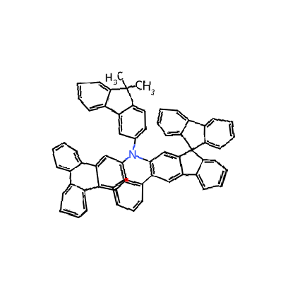 CC1(C)c2ccccc2-c2cc(N(c3ccc4c5ccccc5c5ccccc5c4c3)c3cc4c(cc3-c3ccccc3)-c3ccccc3C43c4ccccc4-c4ccccc43)ccc21